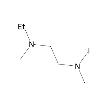 CCN(C)CCN(C)I